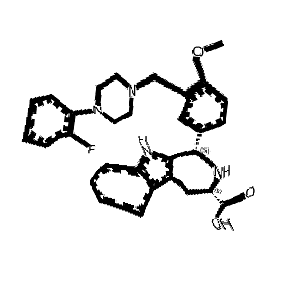 COc1ccc([C@@H]2N[C@H](C(=O)O)Cc3c2[nH]c2ccccc32)cc1CN1CCN(c2ccccc2F)CC1